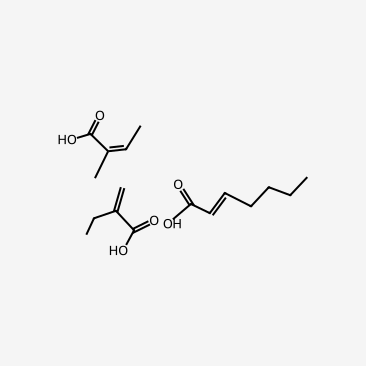 C=C(CC)C(=O)O.CC=C(C)C(=O)O.CCCCC=CC(=O)O